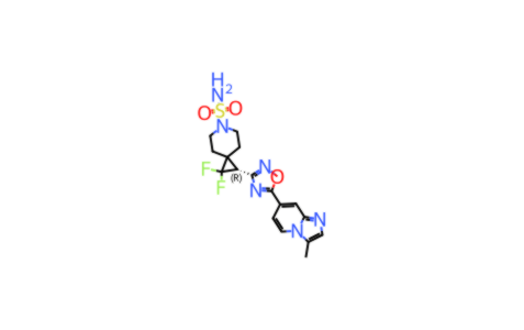 Cc1cnc2cc(-c3nc([C@@H]4C(F)(F)C45CCN(S(N)(=O)=O)CC5)no3)ccn12